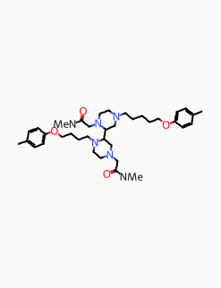 CNC(=O)CN1CCN(CCCCOc2ccc(C)cc2)C(C2CN(CCCCCOc3ccc(C)cc3)CCN2CC(=O)NC)C1